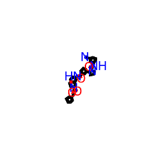 N#Cc1cccc(NC(=O)N2CCCC2c2cccc(C(=O)Nc3ccc4c(c3)CN(C(=O)OCc3ccccc3)CC4)c2)c1